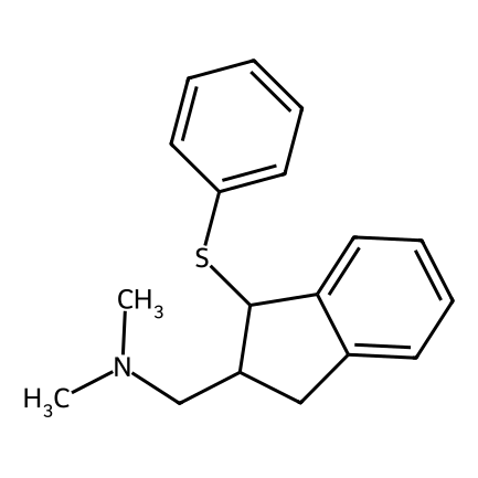 CN(C)CC1Cc2ccccc2C1Sc1ccccc1